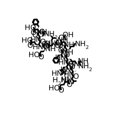 CC(C)C[C@H](NC(=O)[C@H](CC(=O)O)NC(=O)[C@H](CCCCN)NC(=O)[C@H](Cc1ccccc1)NC(=O)[C@H](CCCNC(=N)N)NC(=O)[C@H](Cc1c[nH]cn1)NC(=O)[C@H](C)NC(=O)[C@@H](NC(=O)[C@@H](N)CCC(=O)O)C(C)C)C(=O)NCC(=O)N[C@@H](CCC(=O)O)C(=O)N[C@@H](CCC(=O)O)C(=O)N[C@@H](CC(N)=O)C(=O)N[C@@H](Cc1ccccc1)C(=O)O